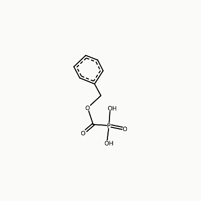 O=C(OCc1ccccc1)P(=O)(O)O